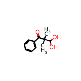 CC(C)(C(=O)c1ccccc1)C(O)O